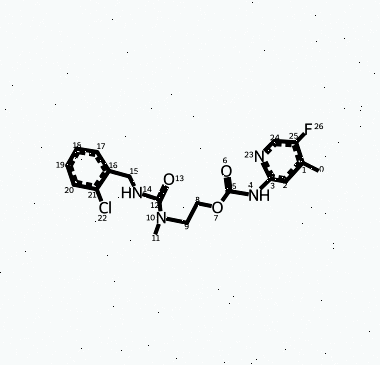 Cc1cc(NC(=O)OCCN(C)C(=O)NCc2ccccc2Cl)ncc1F